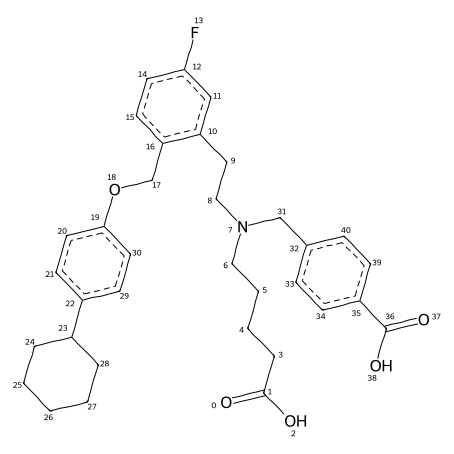 O=C(O)CCCCN(CCc1cc(F)ccc1COc1ccc(C2CCCCC2)cc1)Cc1ccc(C(=O)O)cc1